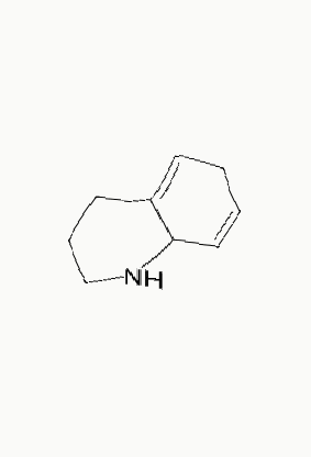 C1=CC2NCCCC2=CC1